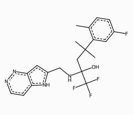 Cc1ccc(F)cc1C(C)(C)CC(O)(NCc1cc2nnccc2[nH]1)C(F)(F)F